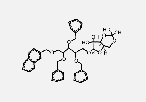 CC1(C)OC[C@H]2O[C@@H](OCC(OCc3ccccc3)C(OCc3ccccc3)C(COCc3ccc4ccccc4c3)OCc3ccccc3)C(O)(O)C2O1